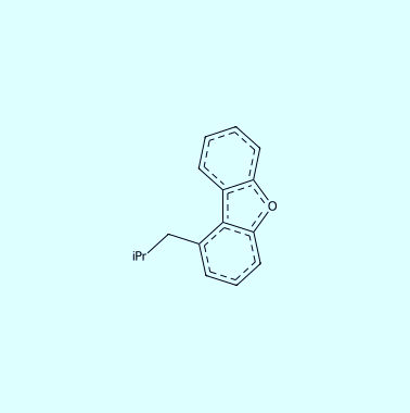 CC(C)Cc1cccc2oc3ccccc3c12